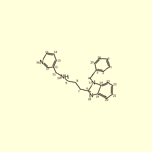 c1ccc(Cn2c(CCCNCc3cccnc3)nc3ccccc32)cc1